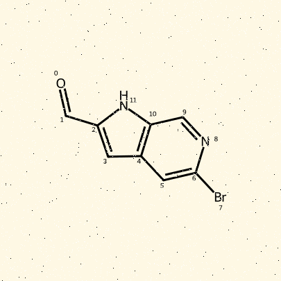 O=Cc1cc2cc(Br)ncc2[nH]1